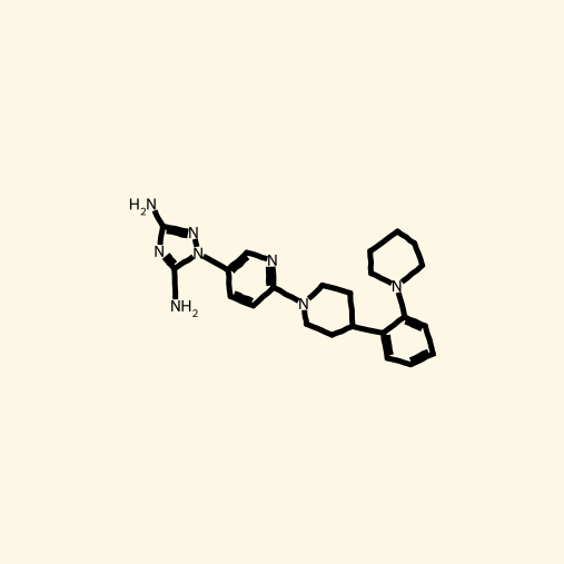 Nc1nc(N)n(-c2ccc(N3CCC(c4ccccc4N4CCCCC4)CC3)nc2)n1